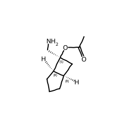 CC(=O)O[C@@]1(CN)C[C@H]2CCC[C@H]21